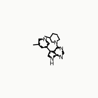 Cc1cncc(-c2c[nH]c3ncnc(N4CCCC(C)C4)c23)c1